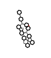 c1ccc(-c2ccc(N(c3ccccc3)c3cccc4c3oc3c(N(c5ccccc5)c5ccc6c(c5)C5(c7ccccc7Sc7ccccc75)c5ccccc5-6)cccc34)cc2)cc1